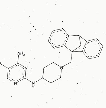 Nc1nc(NC2CCN(CC34CC(c5ccccc53)c3ccccc34)CC2)ncc1F